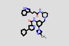 Cc1cn(-c2cc(CN3CCC[C@H](NC(=O)CCc4c[nH]c5ccccc45)C3)cc(NC(=O)c3cc(-c4ccccc4)ccn3)c2)cn1